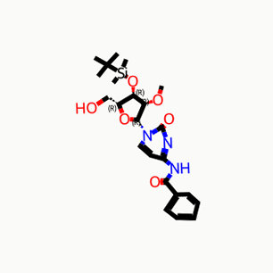 CO[C@@H]1[C@H](O[Si](C)(C)C(C)(C)C)[C@@H](CO)O[C@H]1n1ccc(NC(=O)c2ccccc2)nc1=O